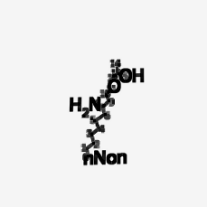 CCCCCCCCCCCCCCCC(N)CCOCC(C)O